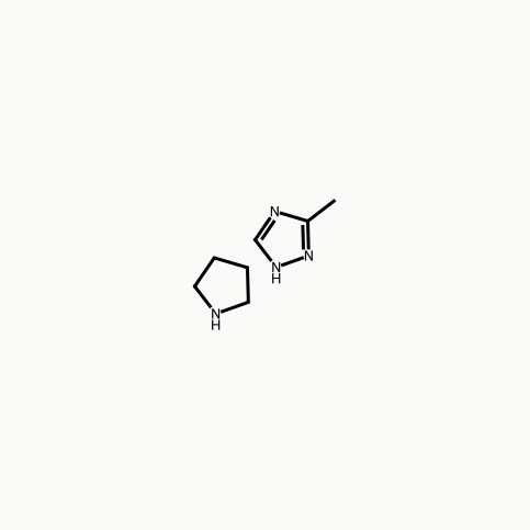 C1CCNC1.Cc1nc[nH]n1